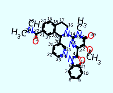 COc1c(-c2nc3ccccc3o2)nc(N2CCc3ccc(C(=O)N(C)C)cc3C2c2cccnc2)n(C)c1=O